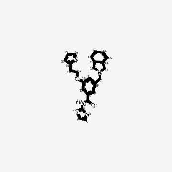 O=C(Nc1nccs1)c1cc(CN2CC3C=CC=CC3C2)cc(OCCc2cccs2)c1